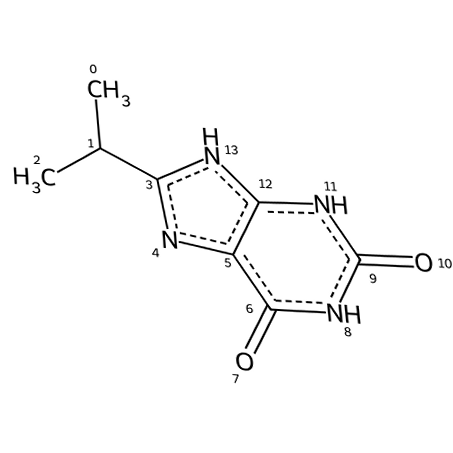 CC(C)c1nc2c(=O)[nH]c(=O)[nH]c2[nH]1